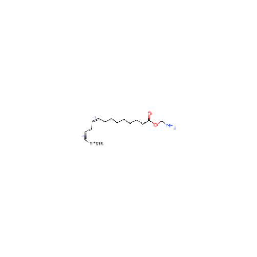 CCCCC/C=C\C/C=C\CCCCCCCC(=O)OCN